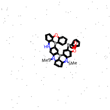 CSN1c2cc3c(cc2B2c4cc5c(cc4N(SC)c4cccc1c42)Oc1cccc2c1B5c1ccccc1O2)B1c2ccccc2Oc2cccc(c21)N3